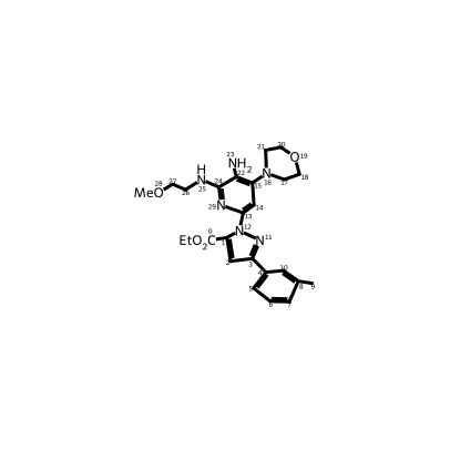 CCOC(=O)c1cc(-c2cccc(C)c2)nn1-c1cc(N2CCOCC2)c(N)c(NCCOC)n1